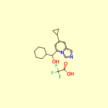 O=C(O)C(F)(F)F.OC(c1cc(C2CC2)cc2cncn12)C1CCCCC1